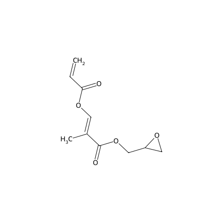 C=CC(=O)OC=C(C)C(=O)OCC1CO1